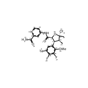 [2H]c1cc([C@H]2[C@@H](C(=O)Nc3ccnc(C(N)=O)c3)O[C@](C)(C(F)(F)F)[C@H]2C)c(OC)c(F)c1F